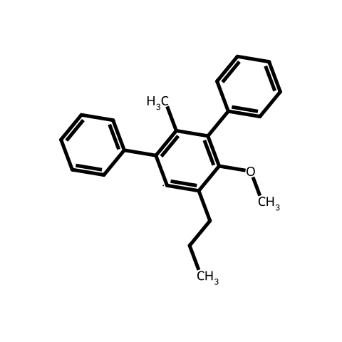 CCCc1[c]c(-c2ccccc2)c(C)c(-c2ccccc2)c1OC